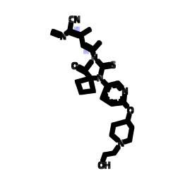 C=N/C(C#N)=C(C)\C=C(/C)N1C(=O)C2(CCC2)N(c2ccc(OC3CCN(CCO)CC3)nc2)C1=S